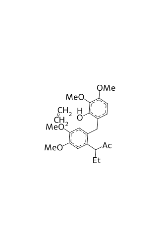 C=C.CCC(C(C)=O)c1cc(OC)c(OC)cc1Cc1ccc(OC)c(OC)c1O